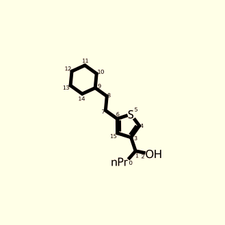 CCCC(O)c1csc(CCC2CCCCC2)c1